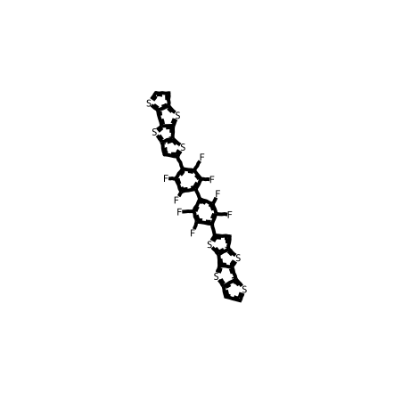 Fc1c(F)c(-c2c(F)c(F)c(-c3cc4sc5c6sccc6sc5c4s3)c(F)c2F)c(F)c(F)c1-c1cc2sc3c4sccc4sc3c2s1